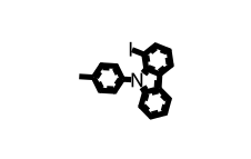 Cc1ccc(-n2c3ccccc3c3cccc(I)c32)cc1